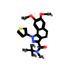 COc1cc2c(cc1OC)-c1c(c([14C](=O)N(C)C(C)(C)C)nn1-c1ccsc1)CC2